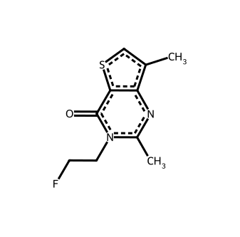 Cc1csc2c(=O)n(CCF)c(C)nc12